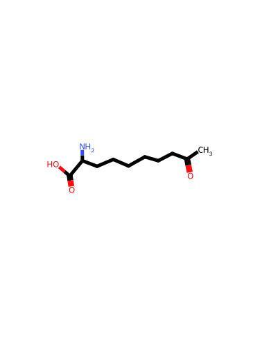 CC(=O)CCCCCCC(N)C(=O)O